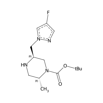 C[C@@H]1CN[C@@H](Cn2cc(F)cn2)CN1C(=O)OC(C)(C)C